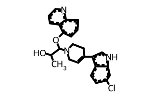 CC(O)C(Oc1cccc2ncccc12)N1CC=C(c2c[nH]c3cc(Cl)ccc23)CC1